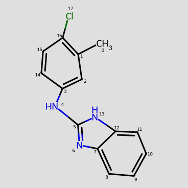 Cc1cc(Nc2nc3ccccc3[nH]2)ccc1Cl